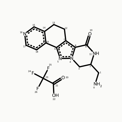 NCC1Cn2nc3c(c2C(=O)N1)CCc1cnccc1-3.O=C(O)C(F)(F)F